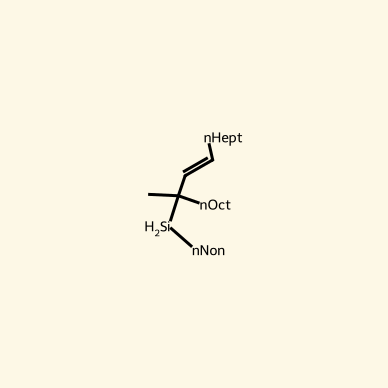 CCCCCCCC=CC(C)(CCCCCCCC)[SiH2]CCCCCCCCC